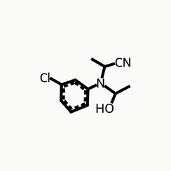 CC(O)N(c1cccc(Cl)c1)C(C)C#N